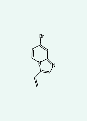 C=Cc1cnc2cc(Br)ccn12